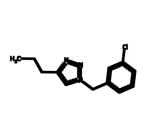 CCCc1cn(Cc2cccc(Cl)c2)nn1